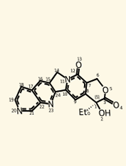 CC[C@@]1(O)C(=O)OCc2c1cc1n(c2=O)Cc2cc3ccncc3nc2-1